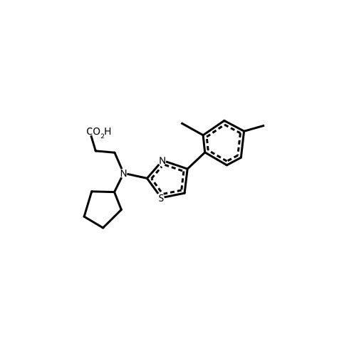 Cc1ccc(-c2csc(N(CCC(=O)O)C3CCCC3)n2)c(C)c1